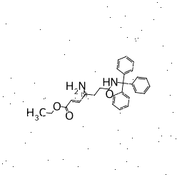 CCOC(=O)C=C[C@@H](N)CCC(=O)NC(c1ccccc1)(c1ccccc1)c1ccccc1